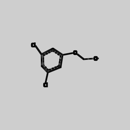 [O]COc1cc(Cl)cc(Cl)c1